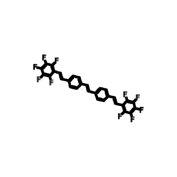 Fc1c(F)c(F)c(/C=C/c2ccc(/C=C/c3ccc(/C=C/c4c(F)c(F)c(F)c(F)c4F)cc3)cc2)c(F)c1F